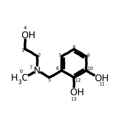 CN(CCO)Cc1cccc(O)c1O